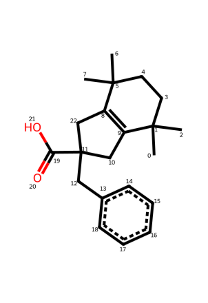 CC1(C)CCC(C)(C)C2=C1CC(Cc1ccccc1)(C(=O)O)C2